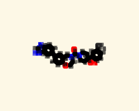 O=C(N1CCC(O)(c2cccc(C(F)(F)F)c2)CC1)N1CCOc2ccc(-c3ccc4n[c][nH]c4c3)cc2C1